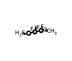 C=CC1CCC(c2ccc(-c3ccc(OCC)c(F)c3F)c(F)c2F)CC1